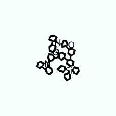 c1ccc([Si](c2ccccc2)(c2ccccc2)c2ccc(-c3ccc4oc5ccc(-n6c7ccccc7c7ccccc76)cc5c4c3)c(-c3ccc4oc5ccc(-n6c7ccccc7c7ccccc76)cc5c4c3)c2)cc1